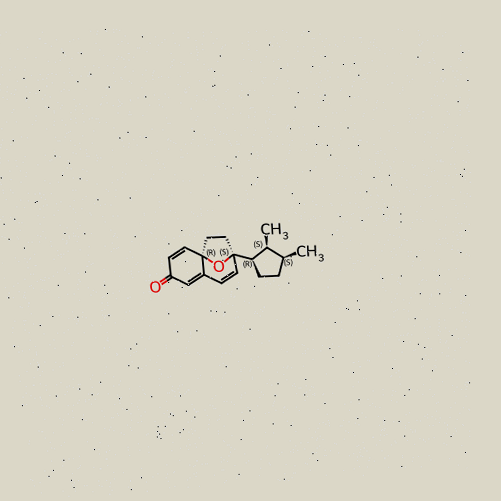 C[C@@H]1[C@H]([C@]23C=CC4=CC(=O)C=C[C@@]4(CC2)O3)CC[C@@H]1C